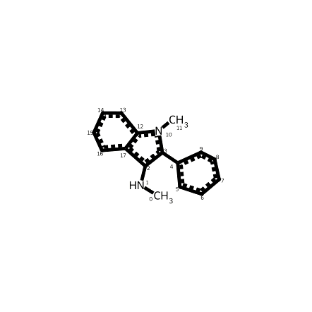 CNc1c(-c2ccccc2)n(C)c2ccccc12